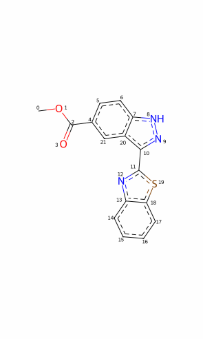 COC(=O)c1ccc2[nH]nc(-c3nc4ccccc4s3)c2c1